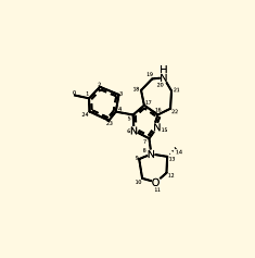 Cc1ccc(-c2nc(N3CCOC[C@H]3C)nc3c2CCNCC3)cc1